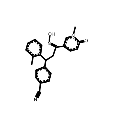 Cc1ccccc1C(C/C(=N/O)c1ccc(=O)n(C)c1)c1ccc(C#N)cc1